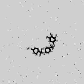 CCCC1CCC(C(F)(F)OC2CC=C(C(F)(F)Oc3cc(F)c(F)c(F)c3)CC2)CC1